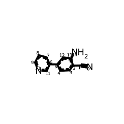 N#Cc1ccc(-c2cccnc2)cc1N